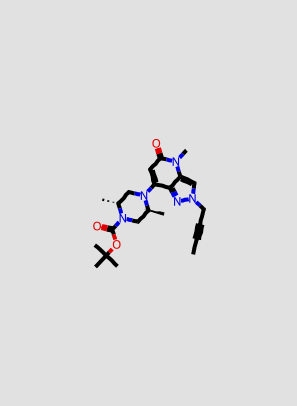 CC#CCn1cc2c(n1)c(N1C[C@@H](C)N(C(=O)OC(C)(C)C)C[C@@H]1C)cc(=O)n2C